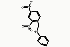 O=[N+]([O-])c1ccc(CNc2ccccc2)c([SH](=O)=O)c1